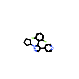 Fc1cccc(F)c1-c1c(-c2ccncc2)cnn1C1CCCC1